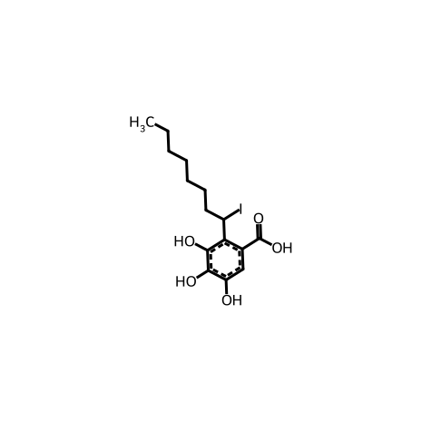 CCCCCCCC(I)c1c(C(=O)O)cc(O)c(O)c1O